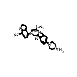 C[C@@H]1CN(c2ccc(C#N)c3ncccc23)C[C@@H]2c3ccc(N4CCN(C)CC4)cc3CN12